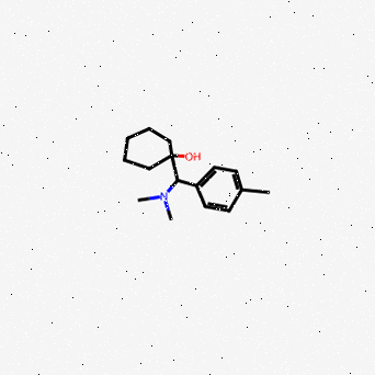 Cc1ccc(C(N(C)C)C2(O)CCCCC2)cc1